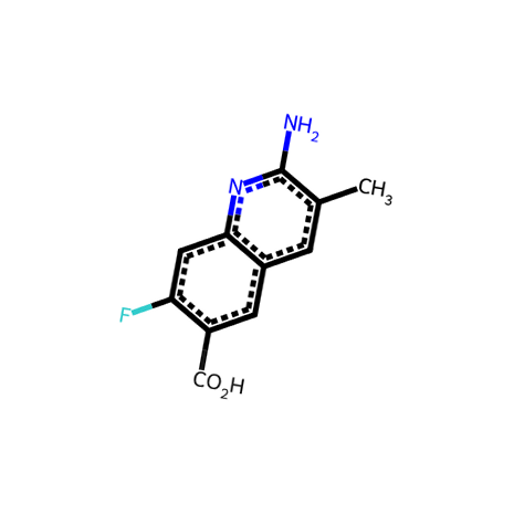 Cc1cc2cc(C(=O)O)c(F)cc2nc1N